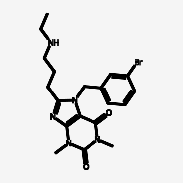 CCNCCCc1nc2c(c(=O)n(C)c(=O)n2C)n1Cc1cccc(Br)c1